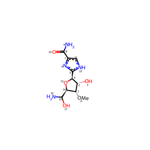 CO[C@H]1[C@@H](O)[C@H](c2nc(C(N)=O)c[nH]2)O[C@@H]1C(N)O